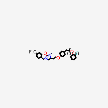 CCOC(=O)C(C)(Cc1ccc(OCCC2CN(Cc3ccc(C(F)(F)F)cc3)C(=O)N2C)cc1)Oc1ccccc1F